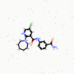 NC(=O)c1cccc(NC(=O)c2cc(Br)cnc2N2CCCCCC2)c1